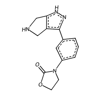 O=C1OCCN1c1cccc(-c2n[nH]c3c2CNC3)c1